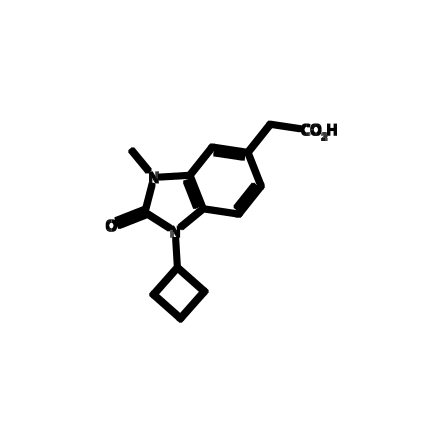 Cn1c(=O)n(C2CCC2)c2ccc(CC(=O)O)cc21